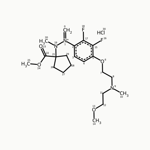 C=[N+](c1ccc(OCCN(C)CCOC)c(F)c1F)N(C)C1(C(=O)OC)CCCC1.Cl